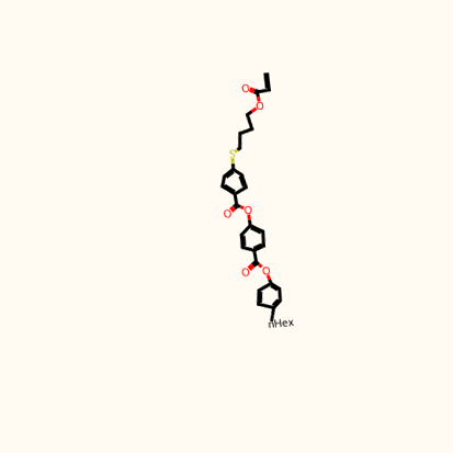 C=CC(=O)OCCCCSc1ccc(C(=O)Oc2ccc(C(=O)Oc3ccc(CCCCCC)cc3)cc2)cc1